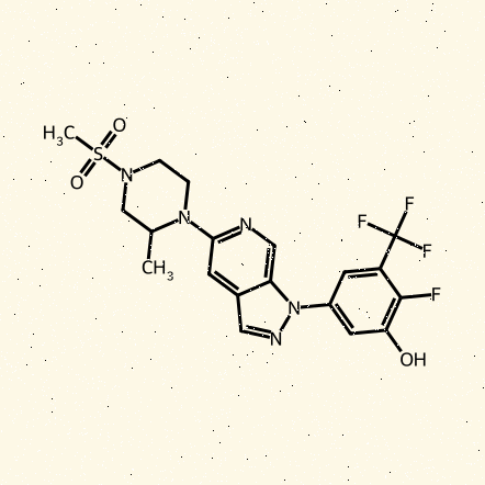 CC1CN(S(C)(=O)=O)CCN1c1cc2cnn(-c3cc(O)c(F)c(C(F)(F)F)c3)c2cn1